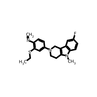 C=Nc1ccc(N2CCc3c(c4cc(F)ccc4n3C)C2)cc1SCC